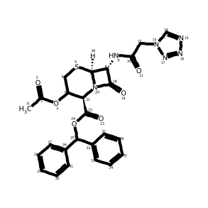 CC(=O)OC1CS[C@H]2[C@H](NC(=O)Cn3cnnn3)C(=O)N2[C@H]1C(=O)OC(c1ccccc1)c1ccccc1